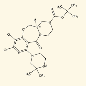 CC1(C)CN(c2nc(Cl)c(Cl)c3c2C(=O)N2CCN(C(=O)OC(C)(C)C)C[C@@H]2CO3)CCN1